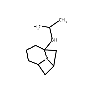 CC(C)BC12CCCC3CC(C1)B32